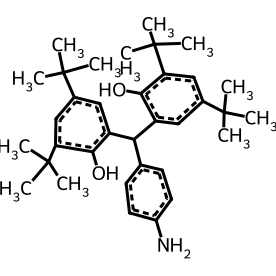 CC(C)(C)c1cc(C(c2ccc(N)cc2)c2cc(C(C)(C)C)cc(C(C)(C)C)c2O)c(O)c(C(C)(C)C)c1